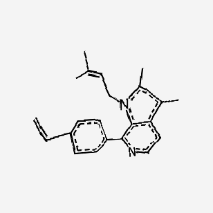 C=Cc1ccc(-c2nccc3c(C)c(C)n(CC=C(C)C)c23)cc1